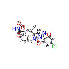 C[C@]1(c2cccc(Cn3c(=O)n(-c4noc5cc(Cl)ccc45)c4ccccc43)c2)OC(=O)NC1=O